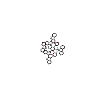 CC(C)(c1c(-c2ccccc2F)c(-n2c3ccccc3c3c4oc5ccccc5c4ccc32)c(C(C)(C)n2c3ccccc3c3ccccc32)c(-n2c3ccccc3c3c4oc5ccccc5c4ccc32)c1-c1ccccc1F)n1c2ccccc2c2ccccc21